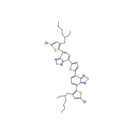 CCCCC(CC)Cc1cc(Br)sc1-c1ccc(-c2ccc(-c3ccc(-c4sc(Br)cc4CC(CC)CCCC)c4nsnc34)s2)c2nsnc12